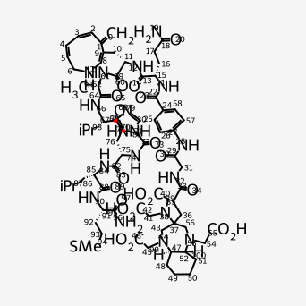 C=C1/C=C\C=C/CN/C=C\1C[C@H](NC(=O)[C@H](CCC(N)=O)NC(=O)c1ccc(NC(=O)CNC(=O)CCC2(N(CC(=O)O)CC(=O)O)CN(CC(=O)O)[C@@H]3CCCC[C@H]3N(CC(=O)O)C2)cc1)C(=O)N[C@@H](C)C(=O)N[C@H](C(=O)NCC(=O)N[C@@H](Cc1cnc[nH]1)C(=O)N[C@@H](CC(C)C)C(=O)N[C@@H](CCSC)C(N)=O)C(C)C